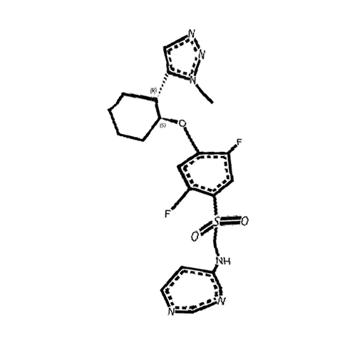 Cn1nncc1[C@H]1CCCC[C@@H]1Oc1cc(F)c(S(=O)(=O)Nc2ccncn2)cc1F